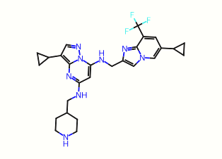 FC(F)(F)c1cc(C2CC2)cn2cc(CNc3cc(NCC4CCNCC4)nc4c(C5CC5)cnn34)nc12